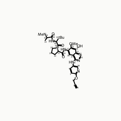 C#CCOc1ccc(Nc2ncnc3cc(OC)c(NC(=O)C4CCCN4C(=O)C(NC(=O)C(C)NC)C(C)(C)C)cc23)cn1.Cl